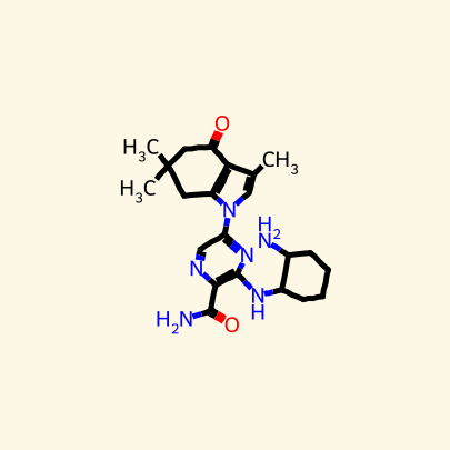 Cc1cn(-c2cnc(C(N)=O)c(NC3CCCCC3N)n2)c2c1C(=O)CC(C)(C)C2